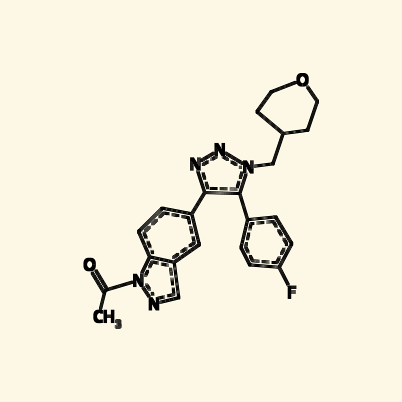 CC(=O)n1ncc2cc(-c3nnn(CC4CCOCC4)c3-c3ccc(F)cc3)ccc21